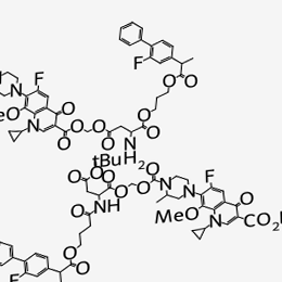 COc1c(N2CCN(C(=O)OCOC(=O)C(CC(=O)OC(C)(C)C)NC(=O)CCCOC(=O)C(C)c3ccc(-c4ccccc4)c(F)c3)C(C)C2)c(F)cc2c(=O)c(C(=O)O)cn(C3CC3)c12.COc1c(N2CCNC(C)C2)c(F)cc2c(=O)c(C(=O)OCOC(=O)CC(N)C(=O)OCCCOC(=O)C(C)c3ccc(-c4ccccc4)c(F)c3)cn(C3CC3)c12